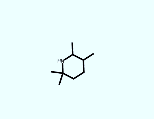 CC1CCC(C)(C)NC1C